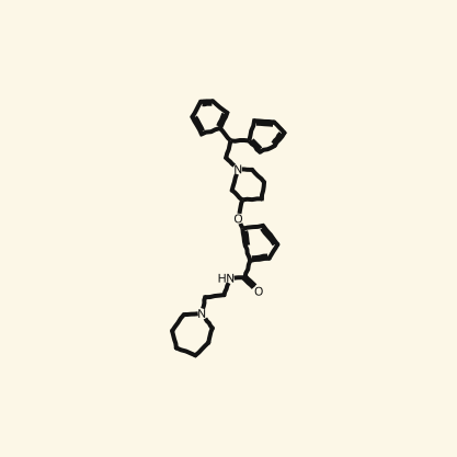 O=C(NCCN1CCCCCC1)c1cccc(OC2CCCN(CC(c3ccccc3)c3ccccc3)C2)c1